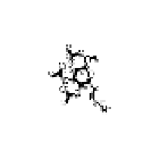 CO[C@H]1O[C@@H](CN=[N+]=[N-])[C@H](OC(C)=O)[C@@H](OC(C)=O)[C@@H]1OC(C)=O